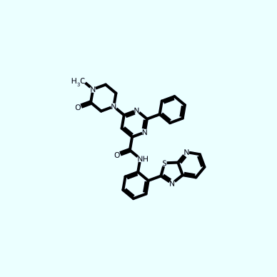 CN1CCN(c2cc(C(=O)Nc3ccccc3-c3nc4cccnc4s3)nc(-c3ccccc3)n2)CC1=O